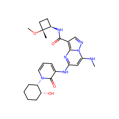 CNc1cc(Nc2cccn([C@H]3CCCC[C@H]3O)c2=O)nc2c(C(=O)N[C@@H]3CC[C@@]3(C)OC)cnn12